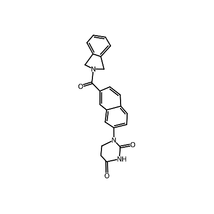 O=C1CCN(c2ccc3ccc(C(=O)N4Cc5ccccc5C4)cc3c2)C(=O)N1